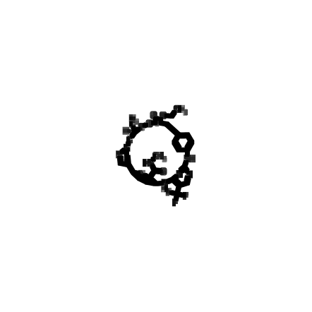 CCOP1(=O)Cc2ccc(cc2)Nc2ncc(C(F)(F)F)c(n2)Nc2ccc(nc2C(=O)NC)-c2cnn(c2)C[C@@H](C)CO1